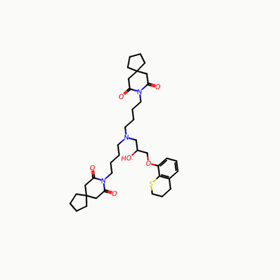 O=C1CC2(CCCC2)CC(=O)N1CCCCN(CCCCN1C(=O)CC2(CCCC2)CC1=O)CC(O)COc1cccc2c1SCCC2